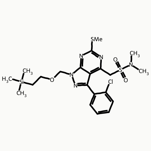 CSc1nc(CS(=O)(=O)N(C)C)c2c(-c3ccccc3Cl)nn(COCC[Si](C)(C)C)c2n1